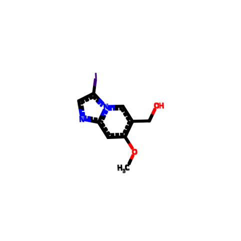 COc1cc2ncc(I)n2cc1CO